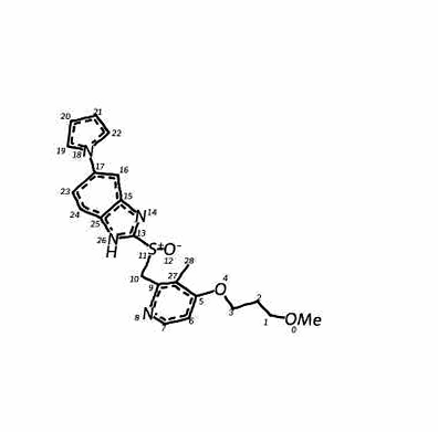 COCCCOc1ccnc(C[S+]([O-])c2nc3cc(-n4cccc4)ccc3[nH]2)c1C